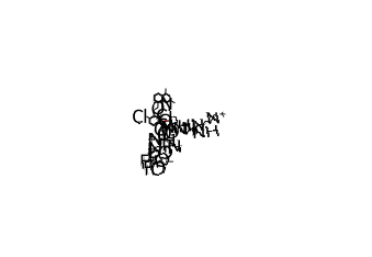 Cc1cc(C)c2cccc(OCc3c(Cl)ccc(S(=O)(=O)NC4(C(=O)N5CCN(C(=N)NCCC[N+](C)(C)C)CC5)CCCC4)c3Cl)c2n1.O=C([O-])C(F)(F)F.O=C1C=C(N2CC2)C(=O)C(N2CC2)=C1N1CC1